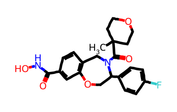 CC1(C(=O)N2Cc3ccc(C(=O)NO)cc3OCC2c2ccc(F)cc2)CCOCC1